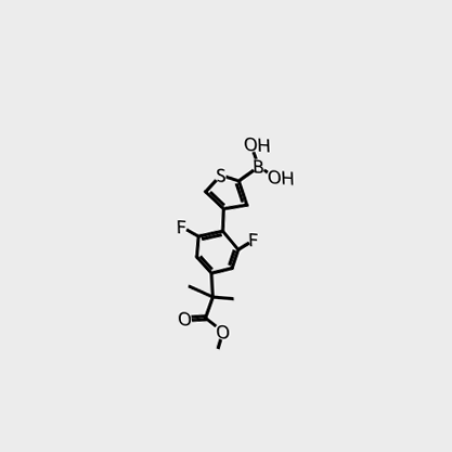 COC(=O)C(C)(C)c1cc(F)c(-c2csc(B(O)O)c2)c(F)c1